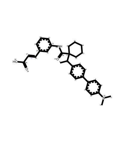 CC(c1ccc(-c2ccc(N(C)C)cc2)cc1)C1(C(=O)Nc2cccc(/C=C/C(=O)O)c2)CCCCC1